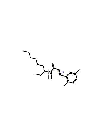 C=C(/C=C/c1cc(C)ccc1C)NC(CC)CCCCCC